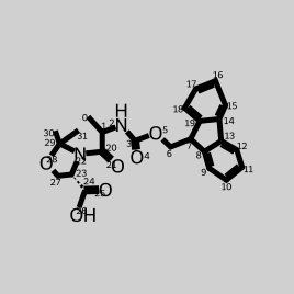 CC(NC(=O)OCC1c2ccccc2-c2ccccc21)C(=O)N1[C@H](C(=O)O)COC1(C)C